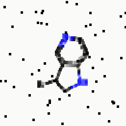 CCC1CNc2ccncc21